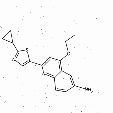 CCOc1cc(-c2cnc(C3CC3)s2)nc2ccc(N)cc12